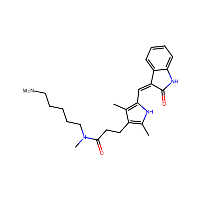 CNCCCCCN(C)C(=O)CCc1c(C)[nH]c(C=C2C(=O)Nc3ccccc32)c1C